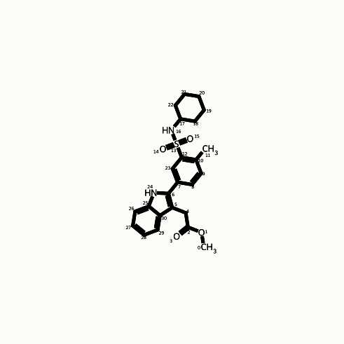 COC(=O)Cc1c(-c2ccc(C)c(S(=O)(=O)NC3CCCCC3)c2)[nH]c2ccccc12